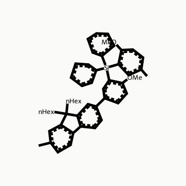 CCCCCCC1(CCCCCC)c2cc(C)ccc2-c2ccc(-c3ccc(OC)c([Si](c4ccccc4)(c4ccccc4)c4cc(C)ccc4OC)c3)cc21